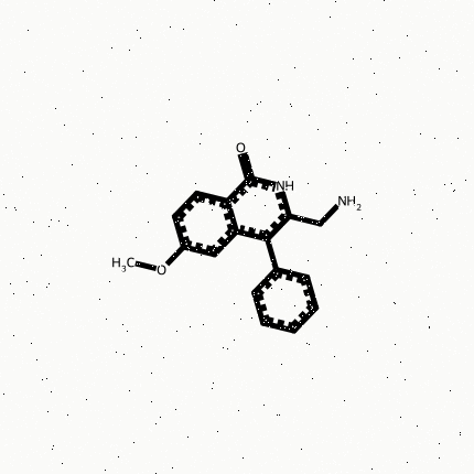 COc1ccc2c(=O)[nH]c(CN)c(-c3ccccc3)c2c1